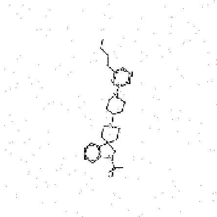 CCCCc1cncc(N2CCC(N3CCC4(CC3)CN(C(C)=O)c3ccccc34)CC2)n1